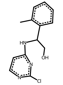 Cc1ccccc1C(CO)Nc1ccnc(Cl)n1